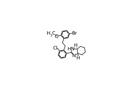 COc1ccc(Br)cc1CCc1c(Cl)cccc1C1=N[C@H]2CCCC[C@@H]2N1